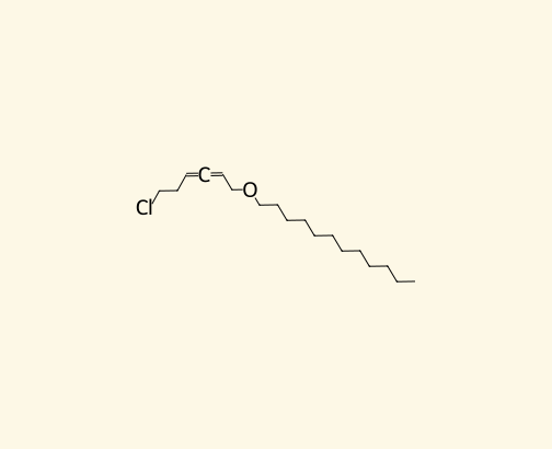 CCCCCCCCCCCCOCC=C=CCCCl